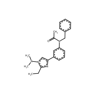 CCc1nc(-c2cccc(N(Cc3ccccc3)C(C)=O)c2)cn1N(C)C